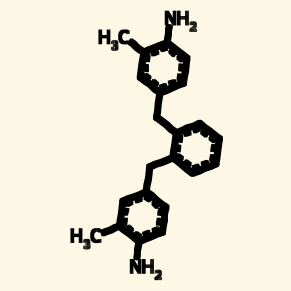 Cc1cc(Cc2ccccc2Cc2ccc(N)c(C)c2)ccc1N